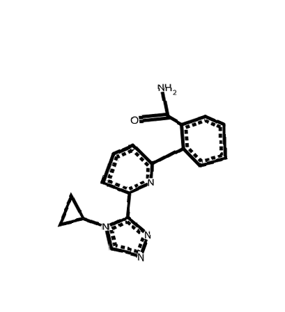 NC(=O)c1ccccc1-c1cccc(-c2nncn2C2CC2)n1